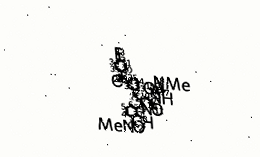 CNC(=O)c1cccc(-c2[nH]c(=O)c(NC(=O)[C@H](C)NC)cc2Cc2cccc(C(=O)c3ccc(F)cc3)c2)c1C